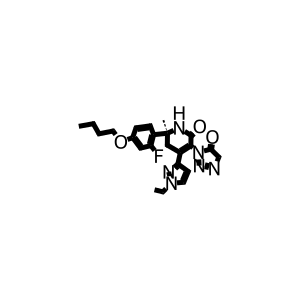 CCCCOc1ccc([C@]2(C)CC(c3ccn(CC)n3)=C(N3N=NCC3=O)C(=O)N2)c(F)c1